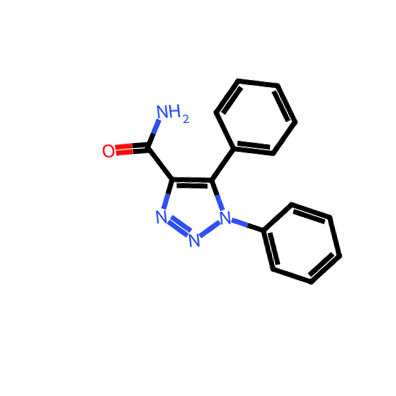 NC(=O)c1nnn(-c2ccccc2)c1-c1ccccc1